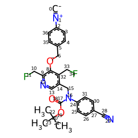 [C-]#[N+]c1ccc(COc2c(CF)ncc(CN(C(=O)OC(C)(C)C)c3ccc(C#N)cc3)c2CF)cc1